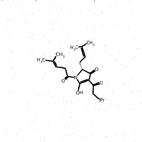 CC(C)=CCC(=O)N1C(O)=C(C(=O)CC(C)C)C(=O)[C@H]1CC=C(C)C